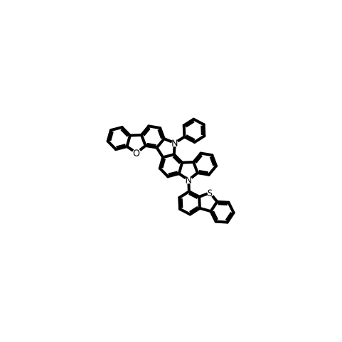 c1ccc(-n2c3ccc4c5ccccc5oc4c3c3ccc4c(c5ccccc5n4-c4cccc5c4sc4ccccc45)c32)cc1